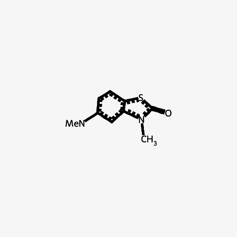 CNc1ccc2sc(=O)n(C)c2c1